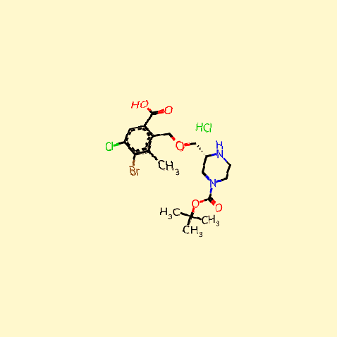 Cc1c(Br)c(Cl)cc(C(=O)O)c1COC[C@H]1CN(C(=O)OC(C)(C)C)CCN1.Cl